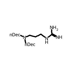 CCCCCCCCCCN(CCCCCCCCCC)CCCNC(=N)N